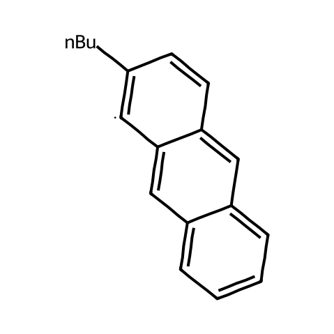 CCCCc1[c]c2cc3ccccc3cc2cc1